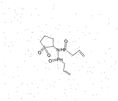 C=CC[PH](=O)N(C1CCCS1(=O)=O)[PH](=O)CC=C